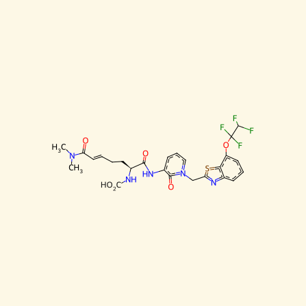 CN(C)C(=O)/C=C/CC[C@H](NC(=O)O)C(=O)Nc1cccn(Cc2nc3cccc(OC(F)(F)C(F)F)c3s2)c1=O